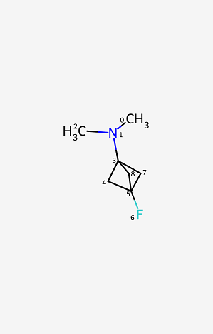 CN(C)C12CC(F)(C1)C2